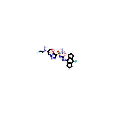 N[S@](=O)(=NC(=O)Nc1c2c(c(F)c3c1CCC3)CCC2)c1cnn2c1OC[C@@H](NCCF)C2